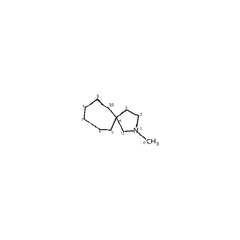 CN1CCC2(CCCCCC2)C1